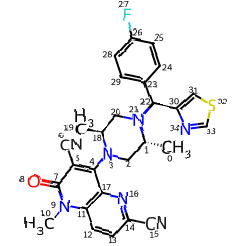 C[C@@H]1CN(c2c(C#N)c(=O)n(C)c3ccc(C#N)nc23)[C@@H](C)CN1C(c1ccc(F)cc1)c1cscn1